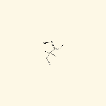 CCC(=NO)C(C)(C)C(C)C